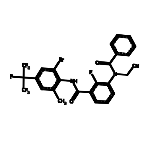 Cc1cc(C(F)(C(F)(F)F)C(F)(F)F)cc(Br)c1NC(=O)c1cccc(N(CC#N)C(=O)c2ccccc2)c1F